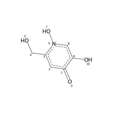 O=c1cc(CO)n(O)cc1O